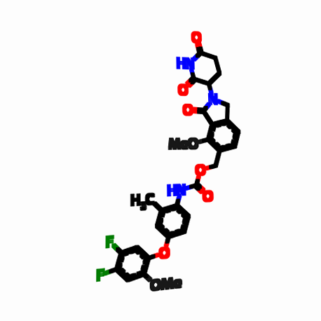 COc1cc(F)c(F)cc1Oc1ccc(NC(=O)OCc2ccc3c(c2OC)C(=O)N(C2CCC(=O)NC2=O)C3)c(C)c1